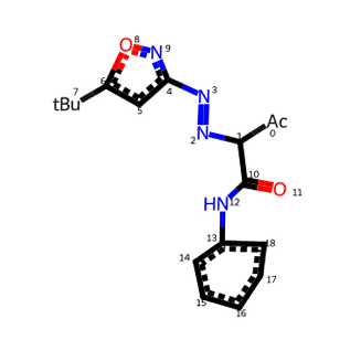 CC(=O)C(N=Nc1cc(C(C)(C)C)on1)C(=O)Nc1ccccc1